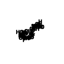 CC1C=C2C(=O)N(C3CCC(=O)NC3=O)CC2=C(NC(=O)OCc2ccc(C(=O)N3CCN(Cc4ccc(-n5c(O)nnc5-c5cc(C(C)C)c(O)cc5O)cc4F)CC3)c(F)c2)C1